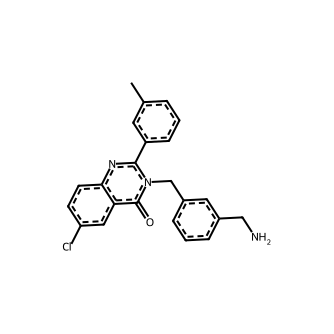 Cc1cccc(-c2nc3ccc(Cl)cc3c(=O)n2Cc2cccc(CN)c2)c1